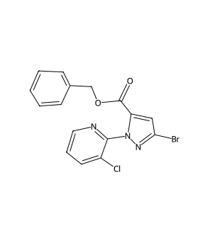 O=C(OCc1ccccc1)c1cc(Br)nn1-c1ncccc1Cl